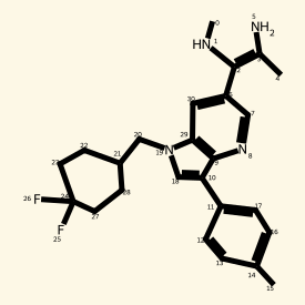 CN/C(=C(/C)N)c1cnc2c(-c3ccc(C)cc3)cn(CC3CCC(F)(F)CC3)c2c1